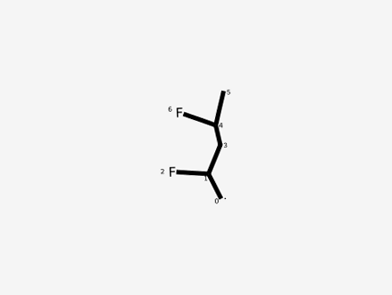 [CH2]C(F)CC(C)F